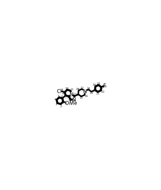 COc1ccccc1-c1c(Cl)ccn2c(C3CCN(CCc4ccc(F)cc4)CC3)ncc12